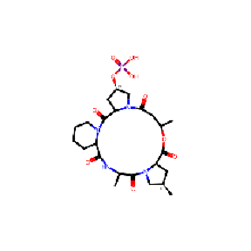 CC1CC(=O)N2C[C@H](OP(=O)(O)O)CC2C(=O)N2CCCCC2C(=O)NC(C)C(=O)N2C[C@H](C)CC2C(=O)O1